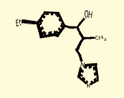 CCc1ccc(C(O)C(C)Cn2ccnc2)cc1